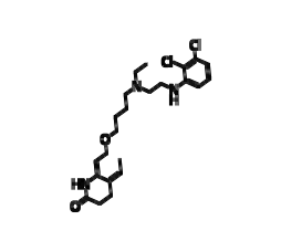 C/C=C1/CCC(=O)N/C1=C/COCCCCN(CC)CCNc1cccc(Cl)c1Cl